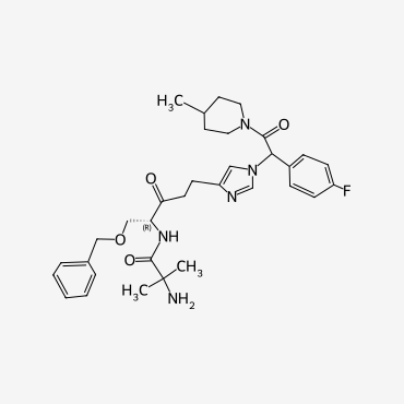 CC1CCN(C(=O)C(c2ccc(F)cc2)n2cnc(CCC(=O)[C@@H](COCc3ccccc3)NC(=O)C(C)(C)N)c2)CC1